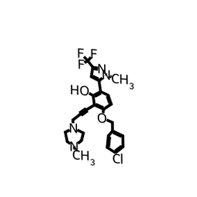 CN1CCN(CC#Cc2c(OCc3ccc(Cl)cc3)ccc(-c3cc(C(F)(F)F)nn3C)c2O)CC1